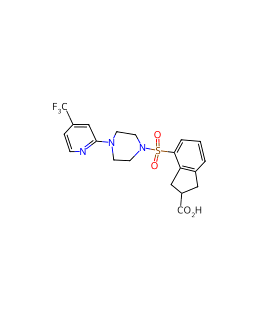 O=C(O)C1Cc2cccc(S(=O)(=O)N3CCN(c4cc(C(F)(F)F)ccn4)CC3)c2C1